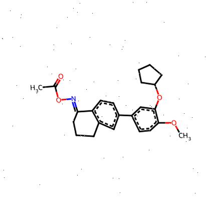 COc1ccc(-c2ccc3c(c2)CCC/C3=N\OC(C)=O)cc1OC1CCCC1